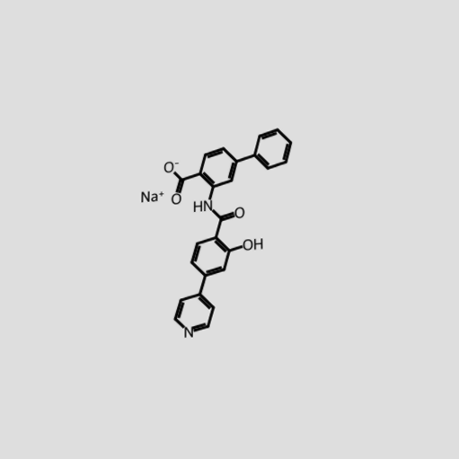 O=C(Nc1cc(-c2ccccc2)ccc1C(=O)[O-])c1ccc(-c2ccncc2)cc1O.[Na+]